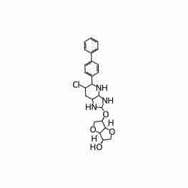 O[C@@H]1CO[C@H]2[C@@H]1OC[C@H]2OC1NC2CC(Cl)C(c3ccc(-c4ccccc4)cc3)NC2N1